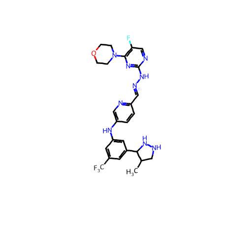 CC1CNNC1c1cc(Nc2ccc(/C=N/Nc3ncc(F)c(N4CCOCC4)n3)nc2)cc(C(F)(F)F)c1